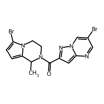 CC1c2ccc(Br)n2CCN1C(=O)c1cc2ncc(Br)cn2n1